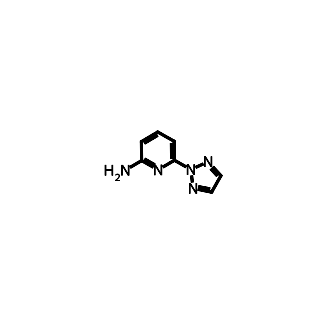 Nc1cccc(-n2nccn2)n1